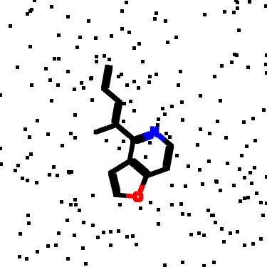 C=C/C=C(\C)c1nccc2occc12